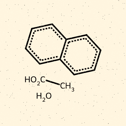 CC(=O)O.O.c1ccc2ccccc2c1